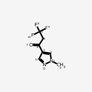 Cn1cc(C(=O)CC(F)(F)F)cn1